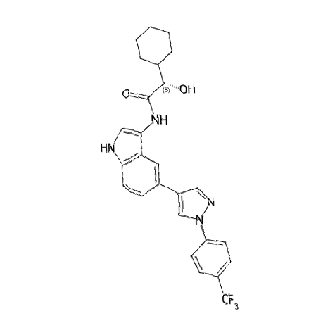 O=C(Nc1c[nH]c2ccc(-c3cnn(-c4ccc(C(F)(F)F)cc4)c3)cc12)[C@@H](O)C1CCCCC1